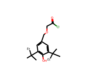 CCC(C)(C)c1cc(COCC(=O)Cl)cc(C(C)(C)CC)c1O